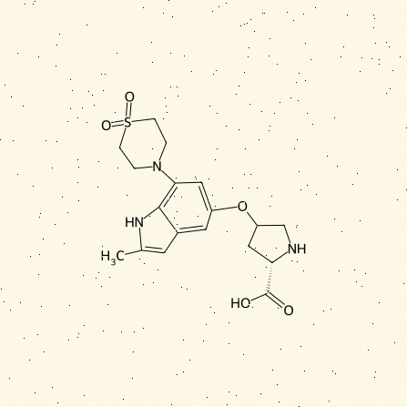 Cc1cc2cc(OC3CN[C@H](C(=O)O)C3)cc(N3CCS(=O)(=O)CC3)c2[nH]1